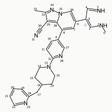 CN/C=C(\C=N)c1cc(-c2ccc(N3CCC(Cc4ccccn4)CC3)nc2)c2c(C#N)c(C)nn2c1